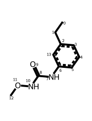 CCc1cccc(NC(=O)NOC)c1